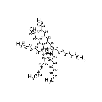 CCCCCCCCC1=C(CCCCCCCC)N(CCCCCCCC)C(CCCCCCCC)(CCCCCCCC)N1CCCCCCCC